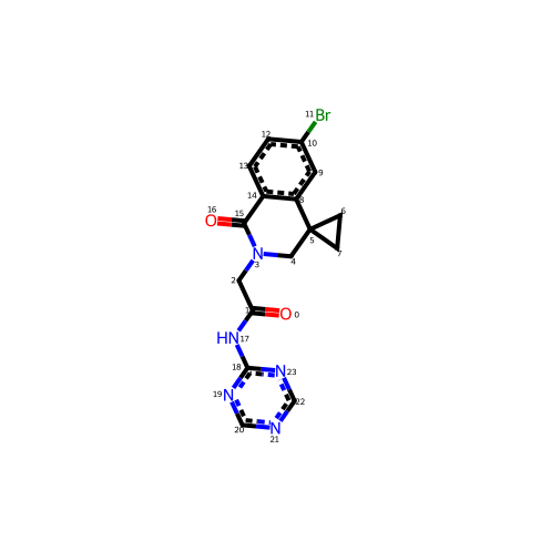 O=C(CN1CC2(CC2)c2cc(Br)ccc2C1=O)Nc1ncncn1